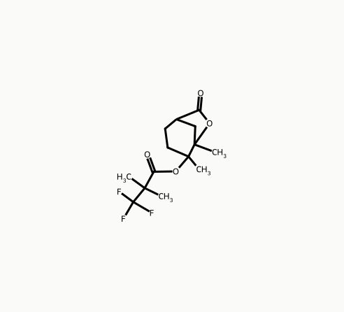 CC12CC(CCC1(C)OC(=O)C(C)(C)C(F)(F)F)C(=O)O2